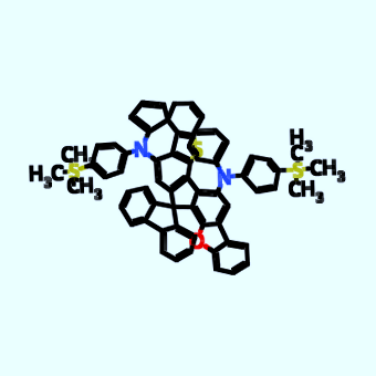 CS(C)(C)c1ccc(N2C3=CC=CC34CC=Cc3sc5c6c(cc2c5c34)C2(c3ccccc3-c3ccccc32)c2c-6c(N(c3ccccc3)c3ccc(S(C)(C)C)cc3)cc3c2oc2ccccc23)cc1